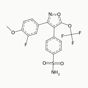 COc1ccc(-c2noc(OC(F)(F)F)c2-c2ccc(S(N)(=O)=O)cc2)cc1F